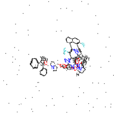 CC(C)[Si](C#Cc1c(F)ccc2cccc(-c3ncc4c(N5C[C@H]6CC[C@@H](C5)N6C(=O)OC(C)(C)C)nc(OC[C@]56CCCN5[C@H](CO[Si](c5ccccc5)(c5ccccc5)C(C)(C)C)CC6)nc4c3F)c12)(C(C)C)C(C)C